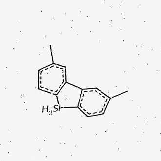 Cc1ccc2c(c1)-c1cc(C)ccc1[SiH2]2